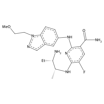 CC[C@H](N)[C@@H](C)Nc1nc(Nc2ccc3c(cnn3CCOC)c2)c(C(N)=O)cc1F